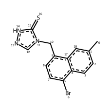 Cc1ccc2c(Br)ccc(Cn3cn[nH]c3=S)c2c1